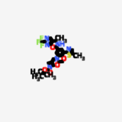 Cc1cnc(-c2cc(C(=O)NC(C)c3cnc(C(F)(F)F)nc3)cc3c2OCC(=O)N3CC2CN(C(=O)OC(C)(C)C)C2)s1